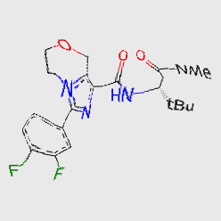 CNC(=O)[C@@H](NC(=O)c1nc(-c2ccc(F)c(F)c2)n2c1COCC2)C(C)(C)C